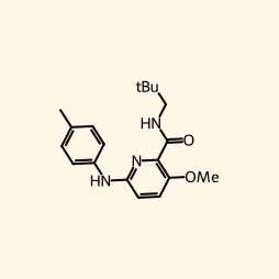 COc1ccc(Nc2ccc(C)cc2)nc1C(=O)NCC(C)(C)C